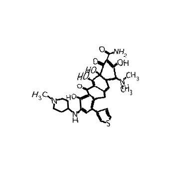 CN1CCC(Nc2cc(-c3ccsc3)c3c(c2O)C(=O)C2=C(O)C4(O)C(=O)C(C(N)=O)=C(O)C(N(C)C)C4CC2C3)CC1